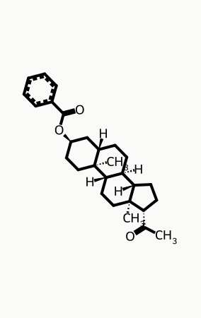 CC(=O)[C@H]1CC[C@H]2[C@@H]3CC[C@H]4C[C@H](OC(=O)c5ccccc5)CC[C@]4(C)[C@H]3CC[C@]12C